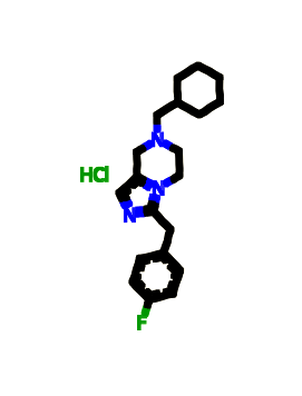 Cl.Fc1ccc(Cc2ncc3n2CCN(CC2CCCCC2)C3)cc1